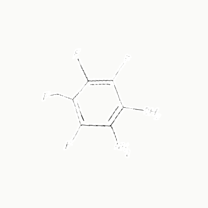 Bc1c(N)c(F)c(F)c(F)c1F